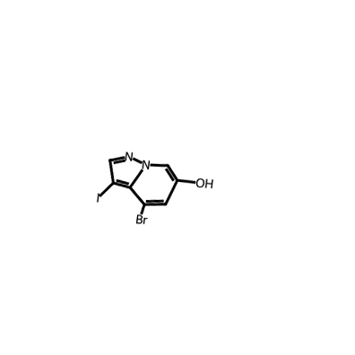 Oc1cc(Br)c2c(I)cnn2c1